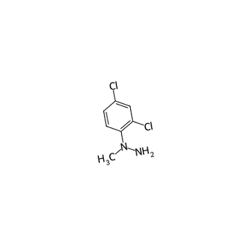 CN(N)c1ccc(Cl)cc1Cl